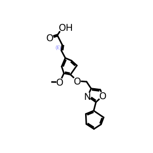 COc1cc(/C=C/C(=O)O)ccc1OCc1coc(-c2ccccc2)n1